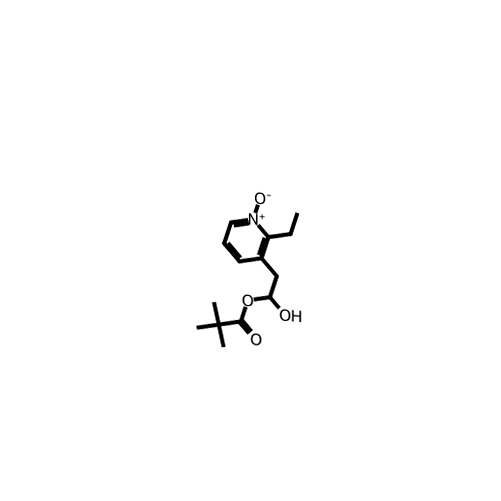 CCc1c(CC(O)OC(=O)C(C)(C)C)ccc[n+]1[O-]